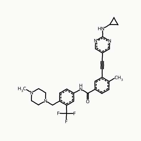 Cc1ccc(C(=O)Nc2ccc(CN3CCN(C)CC3)c(C(F)(F)F)c2)cc1C#Cc1cnc(NC2CC2)nc1